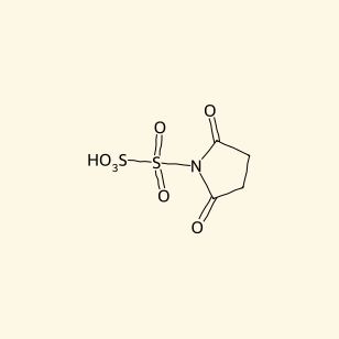 O=C1CCC(=O)N1S(=O)(=O)S(=O)(=O)O